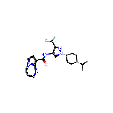 CC(C)[C@H]1CC[C@H](n2cc(NC(=O)c3ccn4cccnc34)c(C(F)F)n2)CC1